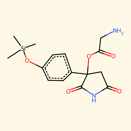 C[Si](C)(C)Oc1ccc(C2(OC(=O)CN)CC(=O)NC2=O)cc1